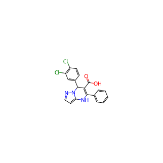 O=C(O)C1=C(c2ccccc2)Nc2ccnn2C1c1ccc(Cl)c(Cl)c1